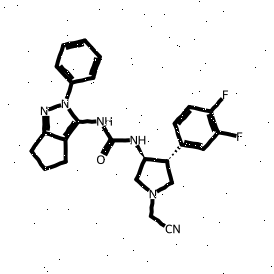 N#CCN1C[C@@H](NC(=O)Nc2c3c(nn2-c2ccccc2)CCC3)[C@H](c2ccc(F)c(F)c2)C1